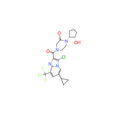 O=C(c1nc2c(C(F)(F)F)cc(C3CC3)cn2c1Cl)N1CCN([C@@H]2CCC[C@@H]2O)C(=O)C1